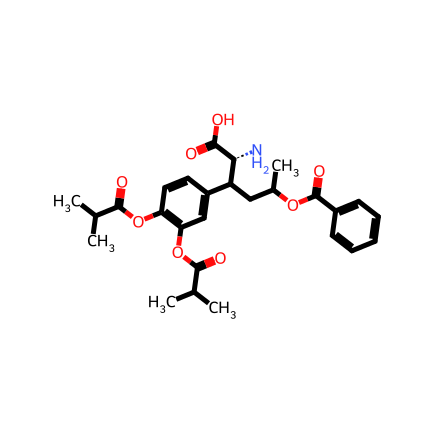 CC(CC(c1ccc(OC(=O)C(C)C)c(OC(=O)C(C)C)c1)[C@@H](N)C(=O)O)OC(=O)c1ccccc1